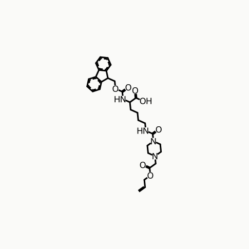 C=CCOC(=O)CN1CCN(C(=O)NCCCCC(NC(=O)OCC2c3ccccc3-c3ccccc32)C(=O)O)CC1